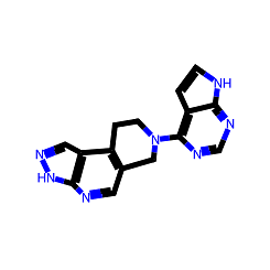 c1nc(N2CCc3c(cnc4[nH]ncc34)C2)c2cc[nH]c2n1